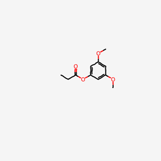 CCC(=O)Oc1cc(OC)cc(OC)c1